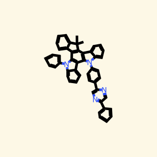 CC1(C)c2ccccc2-c2c1c1c3ccccc3n(-c3ccc(-c4cnc(-c5ccccc5)cn4)cc3)c1c1c3ccccc3n(-c3ccccc3)c21